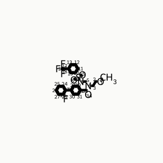 COCCN1CN(S(=O)(=O)c2cccc(C(F)(F)F)c2)c2cc(-c3ccccc3F)ccc2C1=O